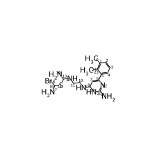 Cc1cccc(C2=CC(NCCNC(N)SC(N)Br)NC(N)=N2)c1C